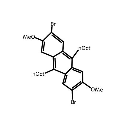 CCCCCCCCc1c2cc(Br)c(OC)cc2c(CCCCCCCC)c2cc(Br)c(OC)cc12